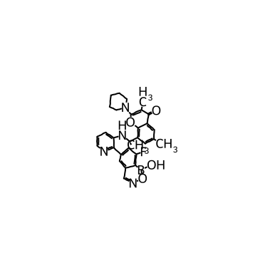 Cc1cc([C@@H](C)Nc2cccnc2-c2cc(F)c3c(c2)C=NOB3O)c2oc(N3CCCCC3)c(C)c(=O)c2c1